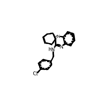 Clc1ccc(CNC2=Nc3ccccc3NC23CCCCC3)cc1